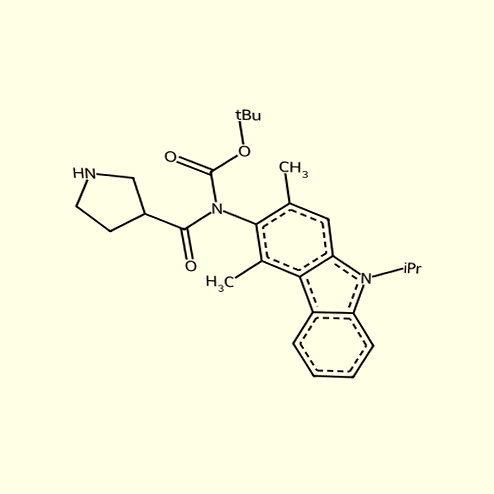 Cc1cc2c(c(C)c1N(C(=O)OC(C)(C)C)C(=O)C1CCNC1)c1ccccc1n2C(C)C